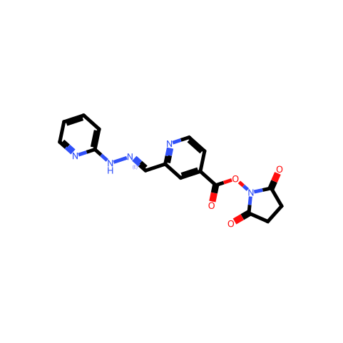 O=C(ON1C(=O)CCC1=O)c1ccnc(/C=N/Nc2ccccn2)c1